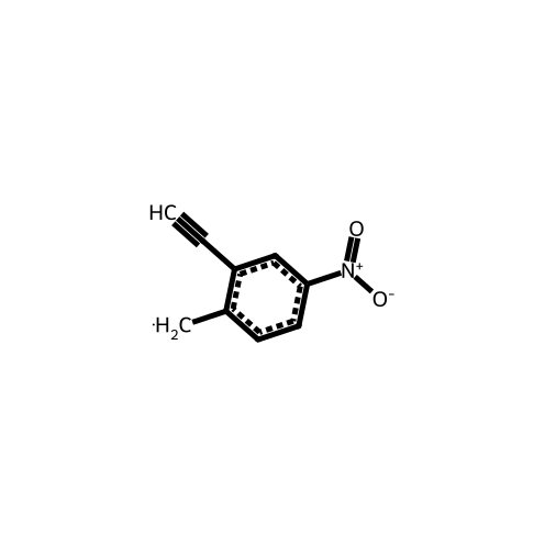 C#Cc1cc([N+](=O)[O-])ccc1[CH2]